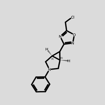 ClCc1nc(C2[C@H]3CN(c4ccccc4)C[C@@H]23)no1